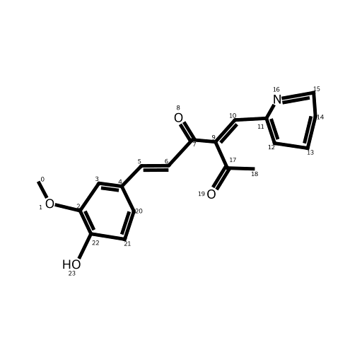 COc1cc(C=CC(=O)C(=Cc2ccccn2)C(C)=O)ccc1O